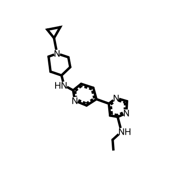 CCNc1cc(-c2ccc(NC3CCN(C4CC4)CC3)nc2)ncn1